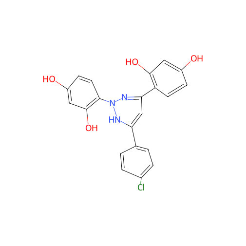 Oc1ccc(C2=NN(c3ccc(O)cc3O)NC(c3ccc(Cl)cc3)=C2)c(O)c1